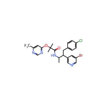 CC(NC(=O)C(C)(C)Oc1cc(C(F)(F)F)ncn1)C(Cc1ccc(Cl)cc1)c1cncc(Br)c1